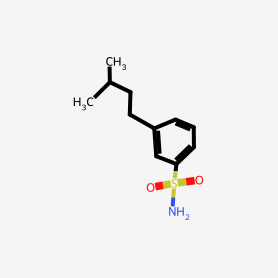 CC(C)CCc1cccc(S(N)(=O)=O)c1